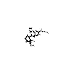 CNc1ncc2cc(-c3cccc(O)c3Cl)c3nncn3c2n1